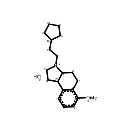 COc1cccc2c1CCC1C2CCN1CCC1CCCC1.Cl